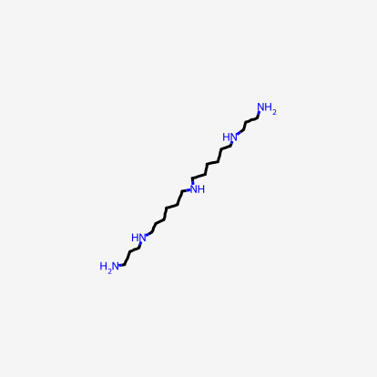 NCCCNCCCCCCNCCCCCCNCCCN